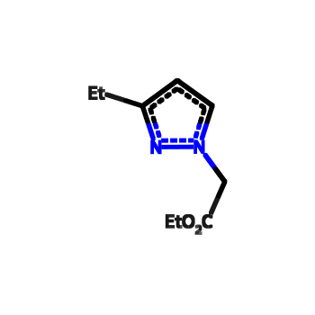 CCOC(=O)Cn1ccc(CC)n1